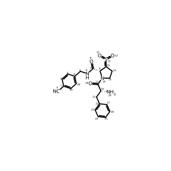 N#Cc1ccc(CNC(=O)[C@@H]2C(=S(=O)=O)CCN2C(=O)[C@H](N)Cc2ccccc2)cc1